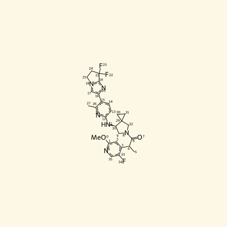 COc1cc(C(C)C(=O)N2C[C@@H](Nc3ccc(-c4cn5c(n4)C(F)(F)CC5)c(C)n3)C3(CC3)C2)c(F)cn1